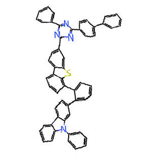 c1ccc(-c2ccc(-c3nc(-c4ccccc4)nc(-c4ccc5c(c4)sc4c(-c6ccccc6-c6ccc7c8ccccc8n(-c8ccccc8)c7c6)cccc45)n3)cc2)cc1